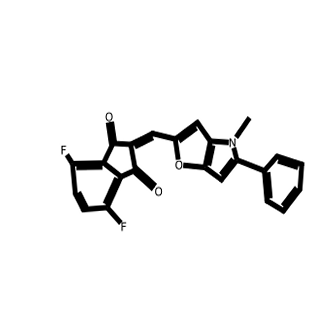 Cn1c(-c2ccccc2)cc2oc(C=C3C(=O)c4c(F)ccc(F)c4C3=O)cc21